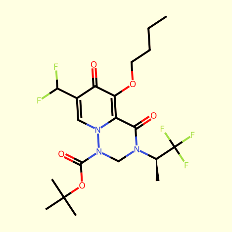 CCCCOc1c2n(cc(C(F)F)c1=O)N(C(=O)OC(C)(C)C)CN([C@H](C)C(F)(F)F)C2=O